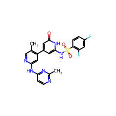 Cc1nccc(Nc2cc(-c3cc(NS(=O)(=O)c4ccc(F)cc4F)[nH]c(=O)c3)c(C)cn2)n1